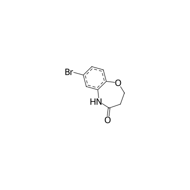 O=C1CCOc2ccc(Br)cc2N1